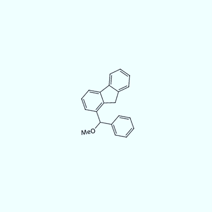 COC(c1ccccc1)c1cccc2c1Cc1ccccc1-2